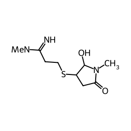 CNC(=N)CCSC1CC(=O)N(C)C1O